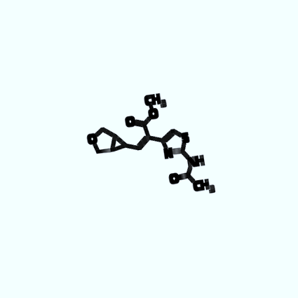 COC(=O)/C(=C\C1C2COCC12)c1csc(NC(C)=O)n1